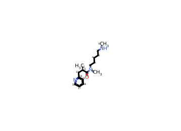 CNCCCCCN(C)C(=O)[C@H](C)Cc1ccccn1